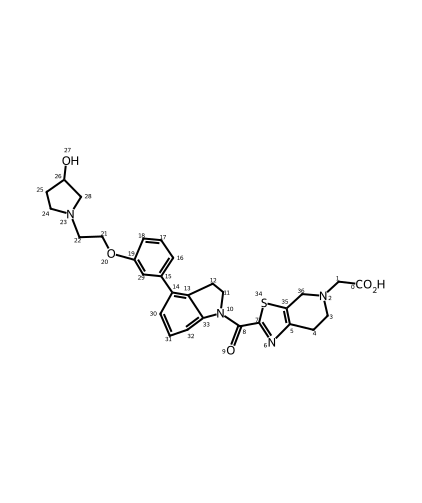 O=C(O)CN1CCc2nc(C(=O)N3CCc4c(-c5cccc(OCCN6CCC(O)C6)c5)cccc43)sc2C1